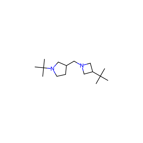 CC(C)(C)C1CN(CC2CCN(C(C)(C)C)C2)C1